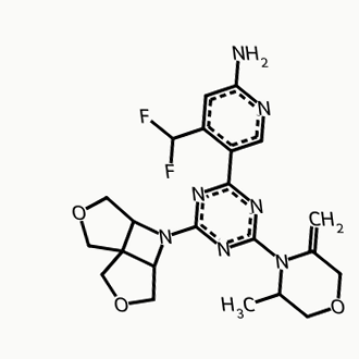 C=C1COCC(C)N1c1nc(-c2cnc(N)cc2C(F)F)nc(N2C3COCC34COCC24)n1